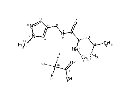 CN[C@@H](CC(C)C)C(=O)NCc1cnn(C)c1.O=C(O)C(F)(F)F